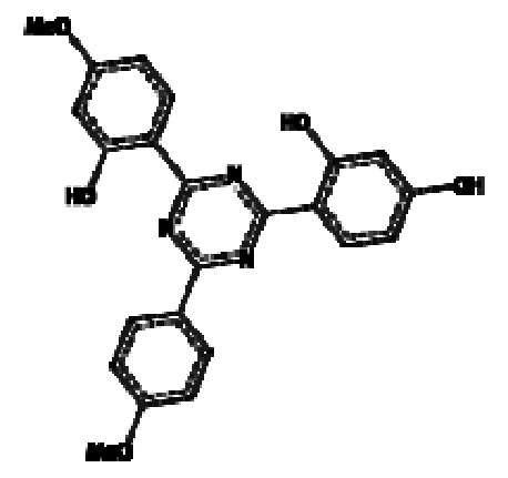 COc1ccc(-c2nc(-c3ccc(O)cc3O)nc(-c3ccc(OC)cc3O)n2)cc1